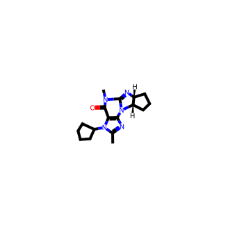 Cc1nc2c(n1C1CCCC1)C(=O)N(C)C1=N[C@@H]3CCC[C@@H]3N12